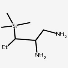 CCC(C(N)CN)[Si](C)(C)C